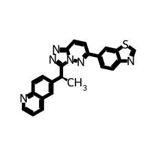 C[C@@H](c1ccc2ncccc2c1)c1nnc2ccc(-c3ccc4ncsc4c3)nn12